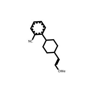 COC=CC1CCC(c2ccccc2C#N)CC1